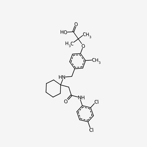 Cc1cc(CNC2(CC(=O)Nc3ccc(Cl)cc3Cl)CCCCC2)ccc1OC(C)(C)C(=O)O